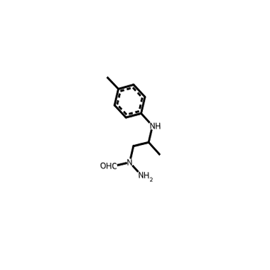 Cc1ccc(NC(C)CN(N)C=O)cc1